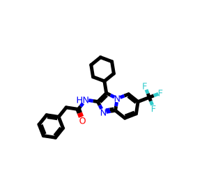 O=C(Cc1ccccc1)Nc1nc2ccc(C(F)(F)F)cn2c1C1CCCCC1